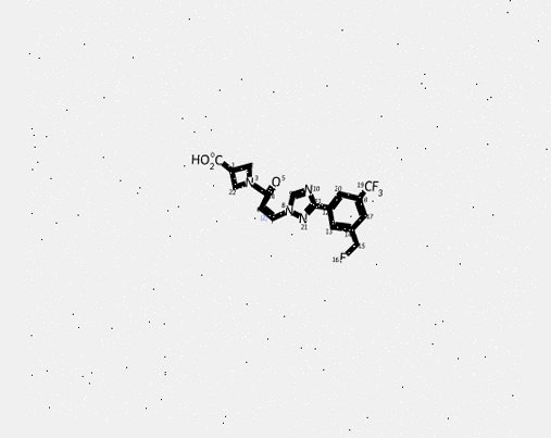 O=C(O)C1CN(C(=O)/C=C\n2cnc(-c3cc(CF)cc(C(F)(F)F)c3)n2)C1